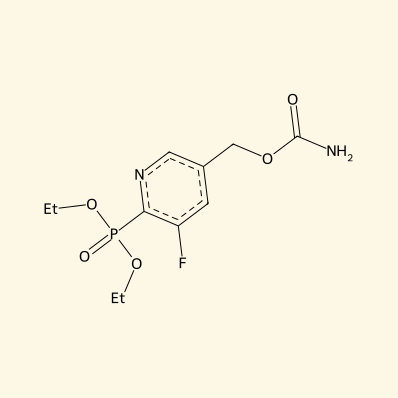 CCOP(=O)(OCC)c1ncc(COC(N)=O)cc1F